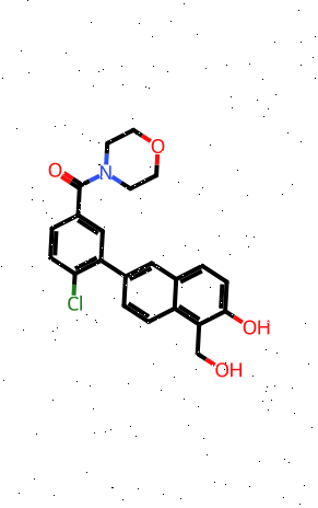 O=C(c1ccc(Cl)c(-c2ccc3c(CO)c(O)ccc3c2)c1)N1CCOCC1